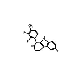 Cc1ccc(C2NCCc3c2[nH]c2ccc(F)cc32)c(F)c1F